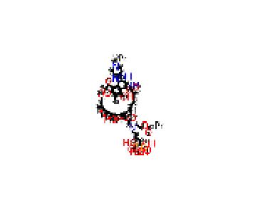 CCCC(=O)OCCN(CCCCC(P(=O)(O)O)P(=O)(O)O)CC(=O)O[C@@H]1[C@@H](C)[C@@H](O)[C@@H](C)[C@H](C)[C@H](C)[C@@H](C)/C=C/O[C@@]2(C)Oc3c(C)c(O)c4c(c3C2=O)C2=NC3(CCN(CC(C)C)CC3)NC2=C(NC(=O)/C(C)=C\C=C\[C@@H]1C)C4=O